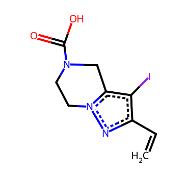 C=Cc1nn2c(c1I)CN(C(=O)O)CC2